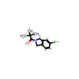 CC(C)(C)C(=O)N1Cc2ccc(F)cc2C1